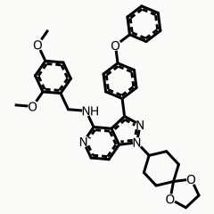 COc1ccc(CNc2nccc3c2c(-c2ccc(Oc4ccccc4)cc2)nn3C2CCC3(CC2)OCCO3)c(OC)c1